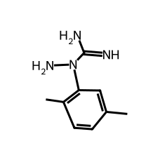 Cc1ccc(C)c(N(N)C(=N)N)c1